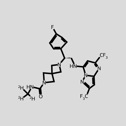 [2H]C([2H])([2H])NC(=O)N1CC2(C1)CN([C@@H](CNc1cc(C(F)(F)F)nc3cc(C(F)(F)F)nn13)c1ccc(F)cc1)C2